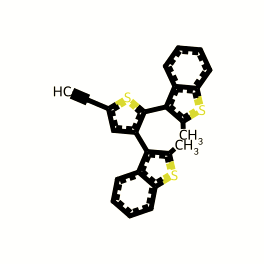 C#Cc1cc(-c2c(C)sc3ccccc23)c(-c2c(C)sc3ccccc23)s1